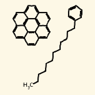 CCCCCCCCCCCCc1ccccc1.c1cc2ccc3ccc4ccc5ccc6ccc1c1c2c3c4c5c61